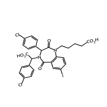 O=C(O)CCCCN1C(=O)C(c2ccc(Cl)cc2)N(C(C(=O)O)c2ccc(Cl)cc2)C(=O)c2cc(I)ccc21